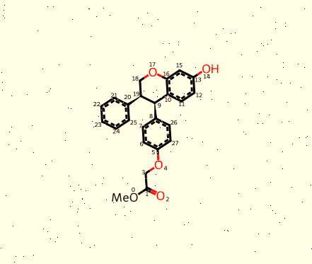 COC(=O)COc1ccc([C@@H]2c3ccc(O)cc3OC[C@@H]2c2ccccc2)cc1